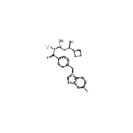 C[C@H](CC(=N)C1CCC1)N(C)C(=O)c1ccc(Cn2cnc3cc(F)ccc32)cc1